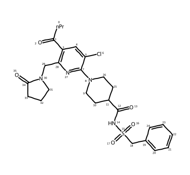 CCCC(=O)c1cc(Cl)c(N2CCC(C(=O)NS(=O)(=O)Cc3ccccc3)CC2)nc1CN1CCCC1=O